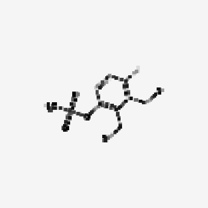 CS(=O)(=O)Oc1ccc(I)c(CBr)c1CBr